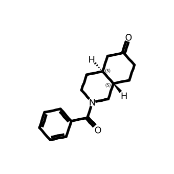 O=C1CC[C@@H]2CN(C(=O)c3ccccc3)CC[C@H]2C1